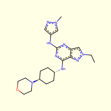 CCn1cc2nc(Nc3cnn(C)c3)nc(N[C@H]3CC[C@H](N4CCOCC4)CC3)c2n1